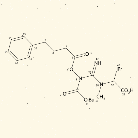 CC(C)COC(=O)N(OC(=O)CCCc1ccccc1)C(=N)N(C)C(C(=O)O)C(C)C